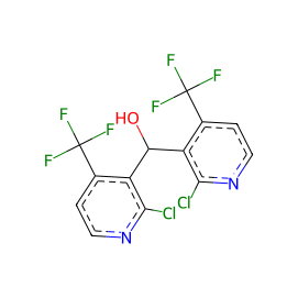 OC(c1c(C(F)(F)F)ccnc1Cl)c1c(C(F)(F)F)ccnc1Cl